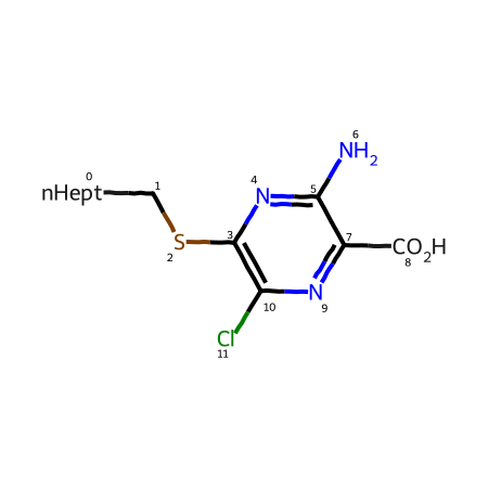 CCCCCCCCSc1nc(N)c(C(=O)O)nc1Cl